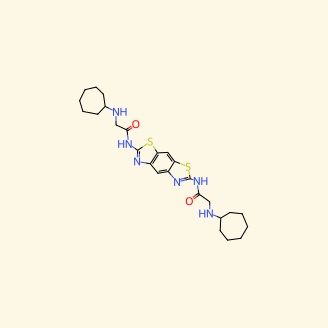 O=C(CNC1CCCCCC1)Nc1nc2cc3nc(NC(=O)CNC4CCCCCC4)sc3cc2s1